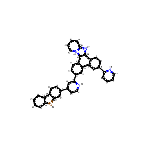 c1ccc(-c2ccc3c(c2)c2cc(-c4cc(-c5ccc6c(c5)sc5ccccc56)ccn4)ccc2c2c3nc3ccccn32)nc1